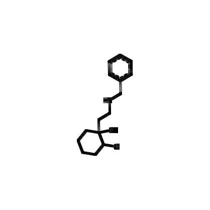 OC1(CCNCc2ccccc2)CCCCC1Cl